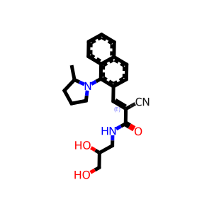 CC1CCCN1c1c(/C=C(\C#N)C(=O)NCC(O)CO)ccc2ccccc12